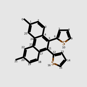 Cc1ccc2c(-c3cccs3)c(-c3cccs3)c3ccc(C)cc3c2c1